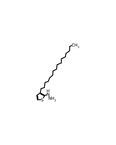 CCCCCCCCCCCCCCCCc1ccsc1NN